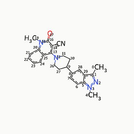 Cc1nn(C)c2ccc(C3CCN(c4c(C#N)c(=O)n(C)c5ccccc45)CC3)cc12